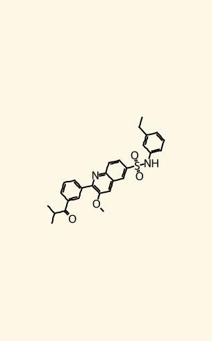 CCc1cccc(NS(=O)(=O)c2ccc3nc(-c4cccc(C(=O)C(C)C)c4)c(OC)cc3c2)c1